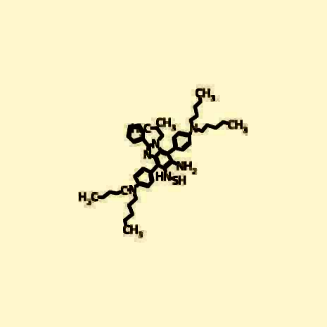 CCCCCN(CCCCC)c1ccc(-c2c(NS)c(N)c(-c3ccc(N(CCCCC)CCCCC)cc3)c3c2nc(-c2ccccc2)n3CC(C)C)cc1